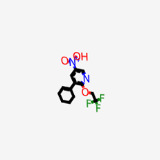 O=[N+](O)c1cnc(OCC(F)(F)F)c(C2=CCCCC2)c1